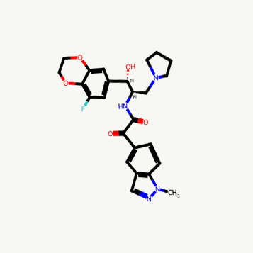 Cn1ncc2cc(C(=O)C(=O)N[C@H](CN3CCCC3)[C@@H](O)c3cc(F)c4c(c3)OCCO4)ccc21